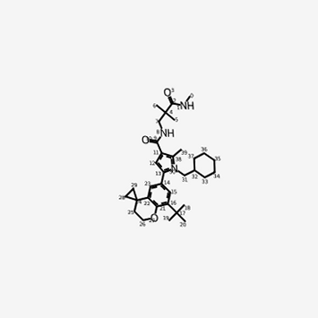 CNC(=O)C(C)(C)CNC(=O)c1cc(-c2cc(C(C)(C)C)c3c(c2)C2(CCO3)CC2)n(CC2CCCCC2)c1C